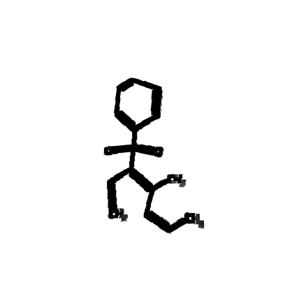 C=C/C(=C(C)\C=C/C)S(=O)(=O)c1ccccc1